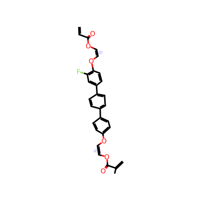 C=CC(=O)O/C=C\Oc1ccc(-c2ccc(-c3ccc(O/C=C\OC(=O)C(=C)C)cc3)cc2)cc1F